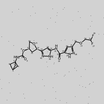 O=C(NC12CC(C1)C2)O[C@H]1CO[C@@H](c2cc(NC(=O)c3cc(COCC(F)F)n[nH]3)[nH]n2)C1